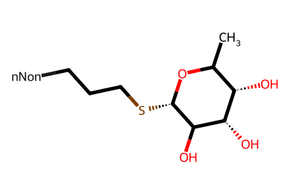 CCCCCCCCCCCCS[C@@H]1OC(C)[C@H](O)[C@H](O)C1O